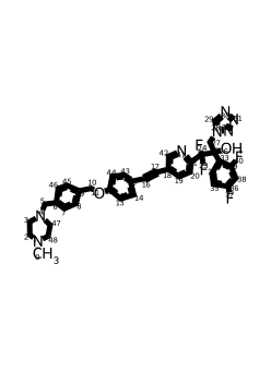 CN1CCN(Cc2ccc(COc3ccc(C#Cc4ccc(C(F)(F)C(O)(Cn5cnnn5)c5ccc(F)cc5F)nc4)cc3)cc2)CC1